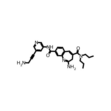 CCCN(CCC)C(=O)C1=Cc2ccc(C(=O)Nc3cncc(C#CCN)c3)cc2N=C(N)C1